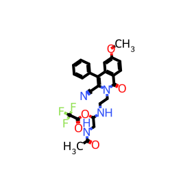 COc1ccc2c(=O)n(CCNC(CNC(C)=O)OC(=O)C(F)(F)F)c(C#N)c(-c3ccccc3)c2c1